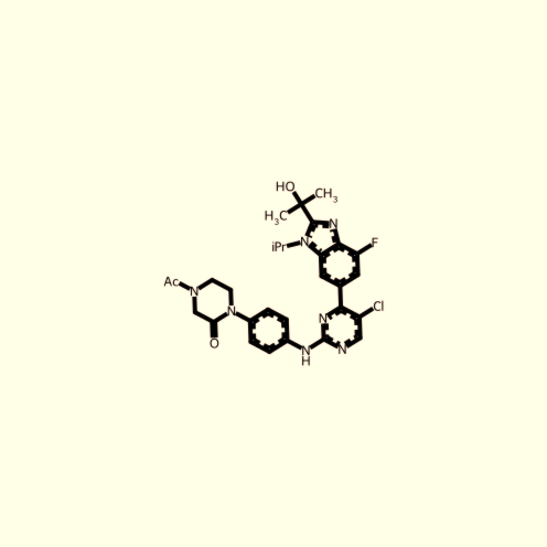 CC(=O)N1CCN(c2ccc(Nc3ncc(Cl)c(-c4cc(F)c5nc(C(C)(C)O)n(C(C)C)c5c4)n3)cc2)C(=O)C1